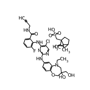 C#CCNC(=O)c1cccc(F)c1Nc1nc(Nc2ccc3c(c2)N(CC)CC(O)(CO)CO3)ncc1Cl.CC1(C)C2CCC1(CS(=O)(=O)O)C(=O)C2